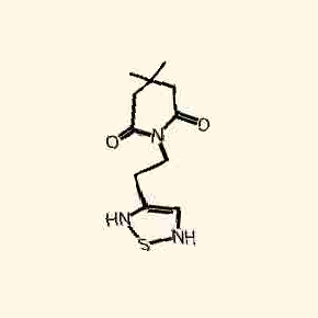 CC1(C)CC(=O)N(CCC2=CNSN2)C(=O)C1